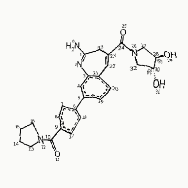 NC1=Nc2cc(-c3ccc(C(=O)N4CCCC4)cc3)ccc2C=C(C(=O)N2C[C@@H](O)[C@H](O)C2)C1